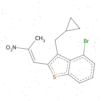 CC(=Cc1sc2cccc(Br)c2c1CC1CC1)[N+](=O)[O-]